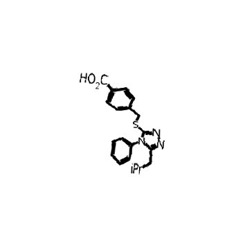 CC(C)Cc1nnc(SCc2ccc(C(=O)O)cc2)n1-c1ccccc1